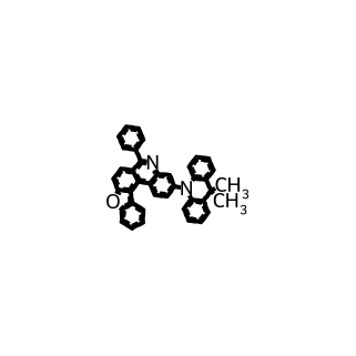 CC1(C)c2ccccc2N(c2ccc3c(c2)nc(-c2ccccc2)c2ccc4oc5ccccc5c4c23)c2ccccc21